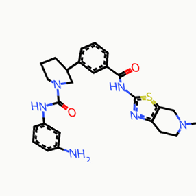 CN1CCc2nc(NC(=O)c3cccc(C4CCCN(C(=O)Nc5cccc(N)c5)C4)c3)sc2C1